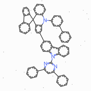 c1ccc(-c2cccc(N3c4ccccc4C4(c5ccccc5-c5ccccc54)c4ccc(-c5ccc6c(c5)c5ccccc5n6-c5nc(-c6ccccc6)cc(-c6ccccc6)n5)cc43)c2)cc1